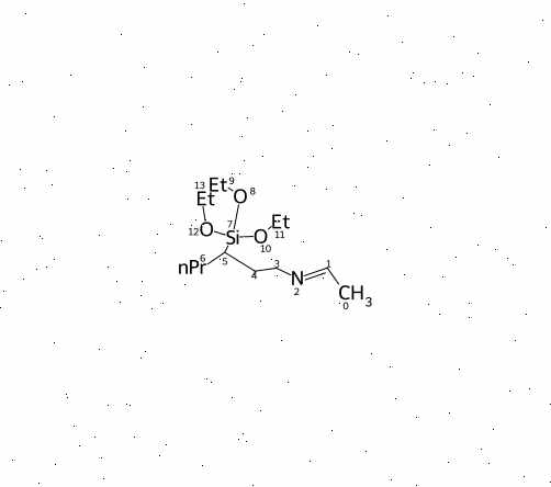 CC=NCCC(CCC)[Si](OCC)(OCC)OCC